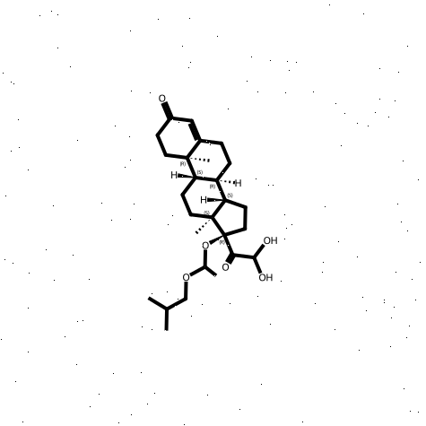 CC(C)COC(C)O[C@]1(C(=O)C(O)O)CC[C@H]2[C@@H]3CCC4=CC(=O)CC[C@]4(C)[C@H]3CC[C@@]21C